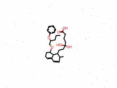 CCCC(COC1CCC=C2C=CC(C)C(CCC(O)(O)CCCC(=O)O)C21)Oc1ccccc1